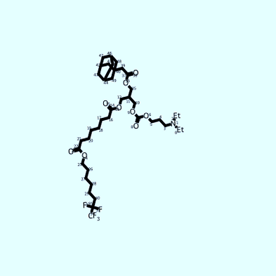 CCN(CC)CCCOC(=O)OCC(COC(=O)CCCCCCC(=O)OCCCCCCC(F)(F)C(F)(F)F)COC(=O)CC12CC3CC(CC(C3)C1)C2